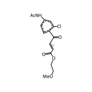 COCCOC(=O)/C=C/C(=O)c1ccc(NC(C)=O)cc1Cl